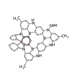 CSN1c2cc3c(cc2B2c4cc5c(cc4Nc4cc(C)cc1c42)Nc1cc(C)cc2c1B5c1cccc4c5ccccc5n-2c14)B1c2c(cc(C)cc2-n2c4ccccc4c4cccc1c42)N3